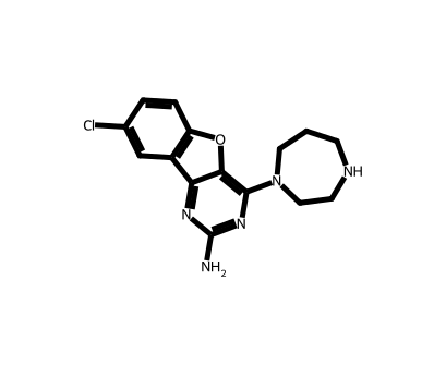 Nc1nc(N2CCCNCC2)c2oc3ccc(Cl)cc3c2n1